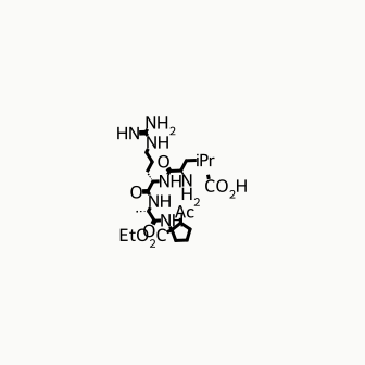 CC(=O)O.CCOC(=O)C1(NC(=O)[C@H](C)NC(=O)[C@H](CCCNC(=N)N)NC(=O)[C@@H](N)CC(C)C)CCCC1C(C)=O